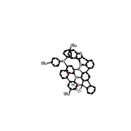 CC(C)(C)c1ccc(N(c2ccc(C(C)(C)C)cc2)c2ccc3c(c2)B2c4c(cc5c(c4N3c3ccc(C(C)(C)C)cc3-c3ccccc3)C(C)(C)c3ccccc3-5)-c3cccc4c5sc6ccccc6c5n2c34)cc1